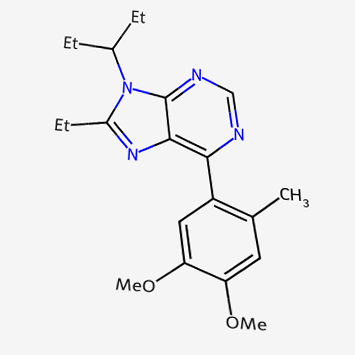 CCc1nc2c(-c3cc(OC)c(OC)cc3C)ncnc2n1C(CC)CC